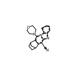 N#Cc1c2c(c(N3CCOCC3)n3c1nc1ccccc13)C1CCC2C1